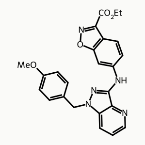 CCOC(=O)c1noc2cc(Nc3nn(Cc4ccc(OC)cc4)c4cccnc34)ccc12